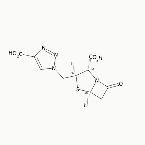 C[C@@]1(Cn2cc(C(=O)O)nn2)S[C@@H]2CC(=O)N2[C@H]1C(=O)O